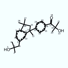 CC(C)(O)Cc1ccc2c(c1)C(C)(c1ccc(C(=O)C(C)(C)O)cc1)CC2(C)C